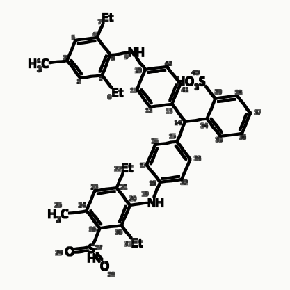 CCc1cc(C)cc(CC)c1Nc1ccc(C(c2ccc(Nc3c(CC)cc(C)c([SH](=O)=O)c3CC)cc2)c2ccccc2S(=O)(=O)O)cc1